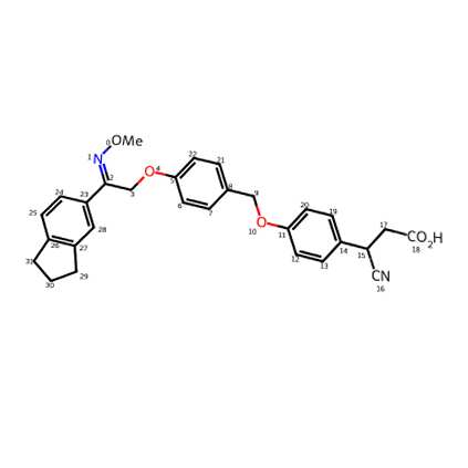 CON=C(COc1ccc(COc2ccc(C(C#N)CC(=O)O)cc2)cc1)c1ccc2c(c1)CCC2